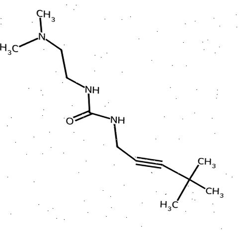 CN(C)CCNC(=O)NCC#CC(C)(C)C